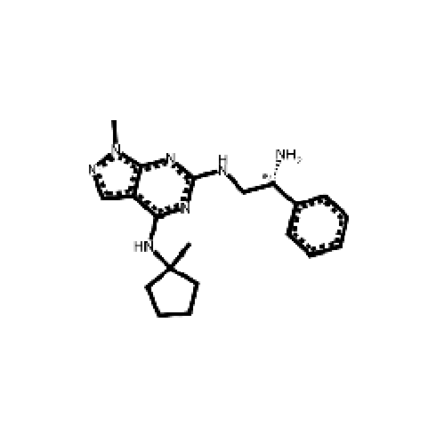 Cn1ncc2c(NC3(C)CCCC3)nc(NC[C@H](N)c3ccccc3)nc21